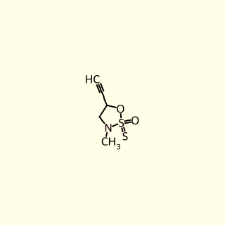 C#CC1CN(C)S(=O)(=S)O1